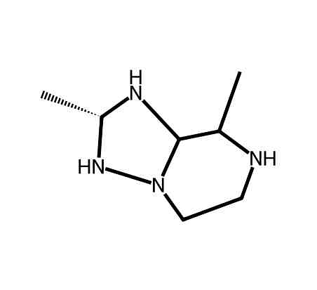 CC1NCCN2N[C@H](C)NC12